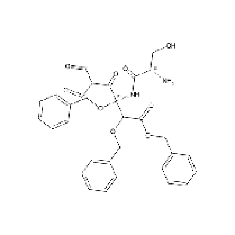 N[C@@H](CO)C(=O)N[C@](OCc1ccccc1)(C(=O)C([C]=O)[C]=O)C(OCc1ccccc1)C(=O)OCc1ccccc1